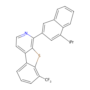 CC(C)c1cc(-c2nccc3c2sc2c(C(F)(F)F)cccc23)cc2ccccc12